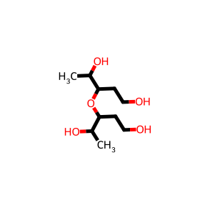 CC(O)C(CCO)OC(CCO)C(C)O